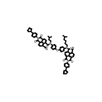 CC(C)CCCCN(C(=O)c1ccc2c3c(ccc(C#N)c13)C(=O)N(c1ccc(C3=CCC=C3)cc1)C2=O)c1ccc(Oc2ccc(N(CCC(C)C)C(=O)c3ccc4c5c(ccc(C#N)c35)C(=O)N(c3ccc(C5C=CC=C5)cc3)C4=O)cc2)cc1